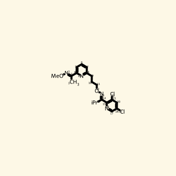 CO/N=C(\C)c1cccc(CCCO/N=C(/c2ncc(Cl)cc2Cl)C(C)C)n1